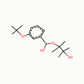 CC(C)(C)Oc1cccc(B(O)OC(C)(C)C(C)(C)O)c1